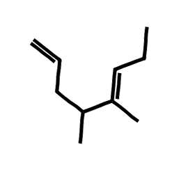 C=CCC(C)C(C)=CCC